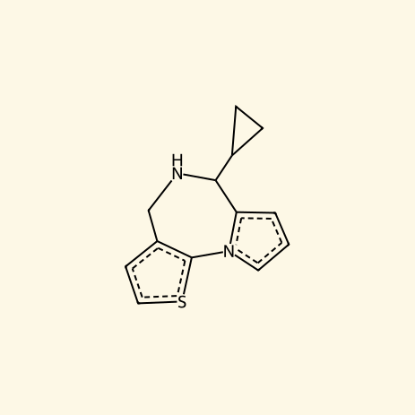 c1cc2n(c1)-c1sccc1CNC2C1CC1